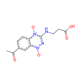 CC(=O)c1ccc2c(c1)[n+]([O-])nc(NCCC(=O)O)[n+]2[O-]